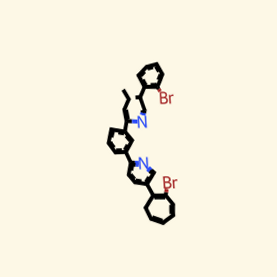 CC/C=C(\N=C/C(C)c1ccccc1Br)c1cccc(-c2ccc(C3=C(Br)C=CC=CC3)cn2)c1